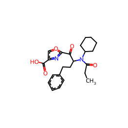 CCC(=O)N(C1CCCCC1)C(CCc1ccccc1)C(=O)c1nc(C(=O)O)co1